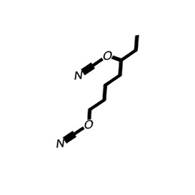 CCC(CCCCOC#N)OC#N